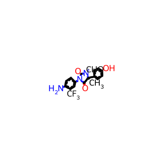 CC1(c2ccc(O)cc2)C(=O)N(c2ccc(N)c(C(F)(F)F)c2)C(=O)N1C=O